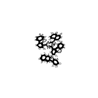 c1ccc2cc3c(cc2c1)c1ccccc1n3-c1cc(-c2nc(-c3cccc4ccccc34)nc(-c3cccc4c3oc3ccccc34)n2)c2c(c1)oc1ccccc12